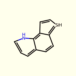 c1c[nH]c2c(c1)ccc1[siH]ccc12